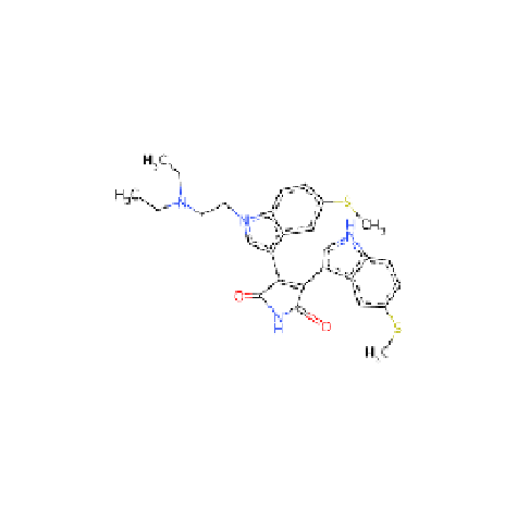 CCN(CC)CCn1cc(C2=C(c3c[nH]c4ccc(SC)cc34)C(=O)NC2=O)c2cc(SC)ccc21